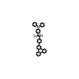 [2H]/C(=C(/[2H])c1ccc(N(c2ccccc2)c2ccccc2)cc1)c1ccc(-c2ccc3c4ccccc4c4ccccc4c3c2)cc1